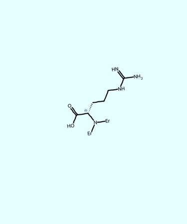 N=C(N)NCCC[C@@H](C(=O)O)[N]([Er])[Er]